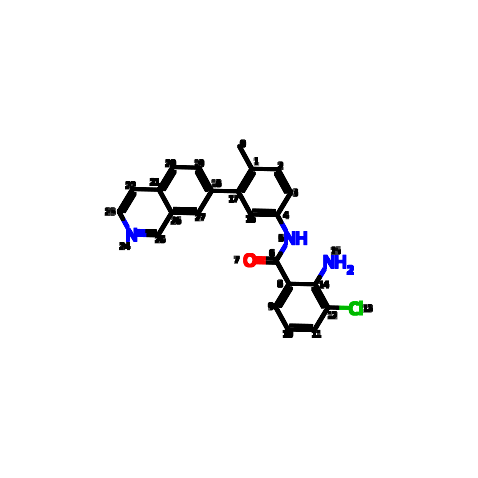 Cc1ccc(NC(=O)c2cccc(Cl)c2N)cc1-c1ccc2ccncc2c1